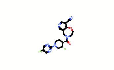 N#Cc1cncc2c1OCCN(C(=O)[C@@H]1CCN(c3ncc(F)cn3)C[C@H]1F)C2